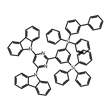 c1ccc(-c2cccc([Si](c3ccccc3)(c3ccccc3)c3cc(-c4nc(-n5c6ccccc6c6ccccc65)cc(-n5c6ccccc6c6ccccc65)n4)cc([Si](c4ccccc4)(c4ccccc4)c4ccccc4)c3)c2)cc1